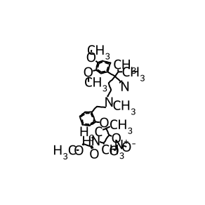 COCC(=O)NC(C)C(O[N+](=O)[O-])C(C)(C)Oc1ccccc1CCN(C)CCCC(C#N)(c1ccc(OC)c(OC)c1)C(C)C